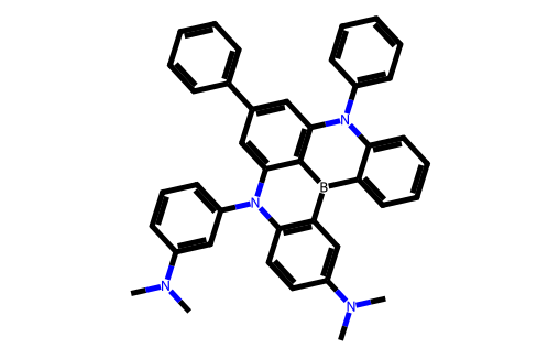 CN(C)c1cccc(N2c3ccc(N(C)C)cc3B3c4ccccc4N(c4ccccc4)c4cc(-c5ccccc5)cc2c43)c1